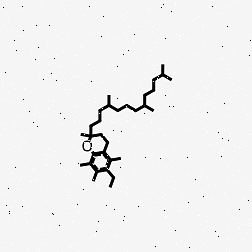 CCc1c(C)c(C)c2c(c1C)CCC(C)(CCCC(C)CCCC(C)CCCC(C)C)O2